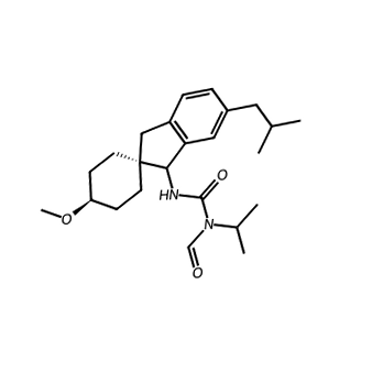 CO[C@H]1CC[C@]2(CC1)Cc1ccc(CC(C)C)cc1C2NC(=O)N(C=O)C(C)C